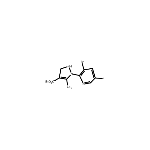 CCOC(=O)C1=C(C(F)(F)F)N(c2ncc(F)cc2Br)NC1